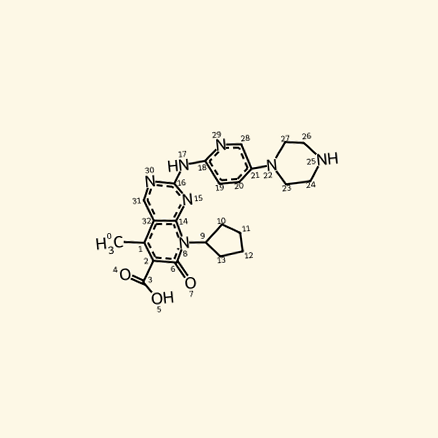 Cc1c(C(=O)O)c(=O)n(C2CCCC2)c2nc(Nc3ccc(N4CCNCC4)cn3)ncc12